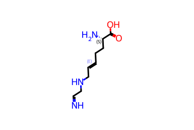 N=CCNC/C=C/CC[C@H](N)C(=O)O